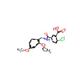 COc1ccc(CNC(=O)c2ccc(Cl)c(C(=O)O)c2)c(OC)c1